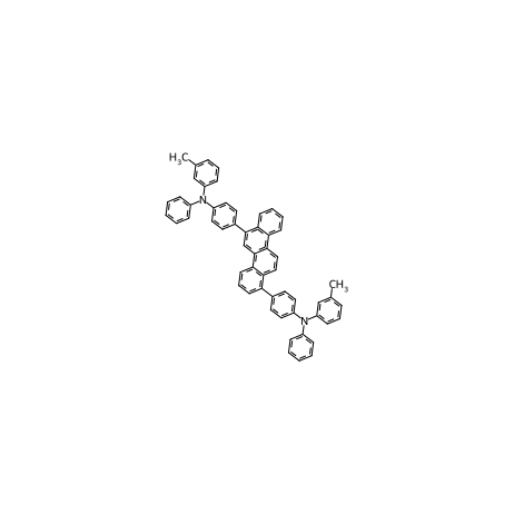 Cc1cccc(N(c2ccccc2)c2ccc(-c3cc4c5cccc(-c6ccc(N(c7ccccc7)c7cccc(C)c7)cc6)c5ccc4c4ccccc34)cc2)c1